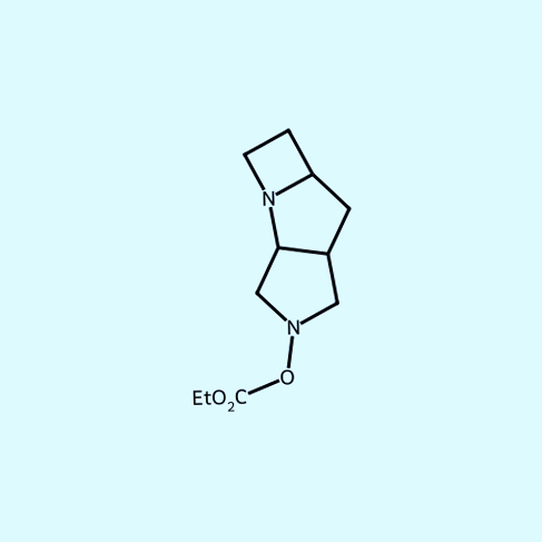 CCOC(=O)ON1CC2CC3CCN3C2C1